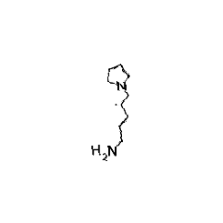 NCCC[CH]CN1CCCC1